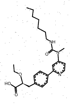 CCCCCCCNC(=O)N(C)c1ccnc(-c2ccc(C[C@H](OCC)C(=O)O)cc2)c1